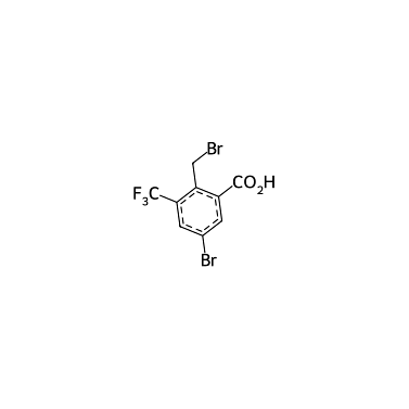 O=C(O)c1cc(Br)cc(C(F)(F)F)c1CBr